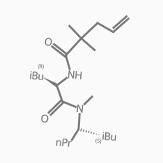 C=CCC(C)(C)C(=O)NC(C(=O)N(C)C(CCC)[C@@H](C)CC)[C@H](C)CC